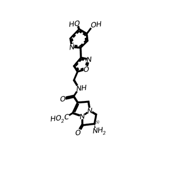 N[C@H]1CN2CC(C(=O)NCc3cc(-c4cc(O)c(O)cn4)no3)=C(C(=O)O)N2C1=O